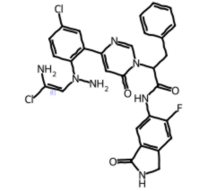 N/C(Cl)=C\N(N)c1ccc(Cl)cc1-c1cc(=O)n(C(Cc2ccccc2)C(=O)Nc2cc3c(cc2F)CNC3=O)cn1